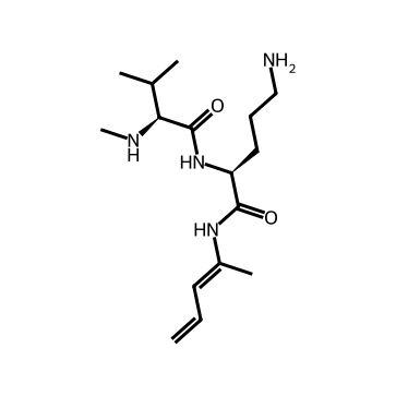 C=C/C=C(\C)NC(=O)[C@H](CCCN)NC(=O)[C@@H](NC)C(C)C